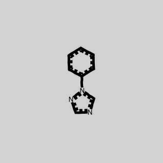 c1ccc(-n2cncn2)cc1